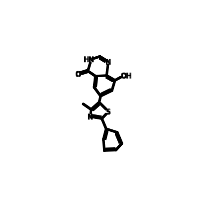 Cc1nc(-c2ccccc2)sc1-c1cc(O)c2nc[nH]c(=O)c2c1